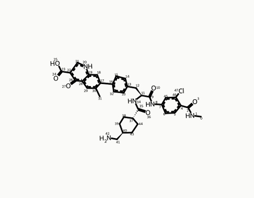 CNC(=O)c1ccc(NC(=O)[C@H](Cc2ccc(-c3cc4[nH]cc(C(=O)O)c(=O)c4cc3C)cc2)NC(=O)[C@H]2CC[C@H](CN)CC2)cc1Cl